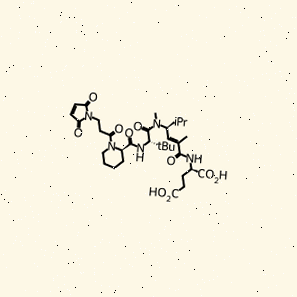 C/C(=C\[C@H](C(C)C)N(C)C(=O)[C@@H](NC(=O)[C@H]1CCCCN1C(=O)CCN1C(=O)C=CC1=O)C(C)(C)C)C(=O)N[C@H](CCC(=O)O)C(=O)O